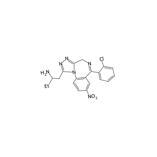 CCC(N)Cc1nnc2n1-c1ccc([N+](=O)[O-])cc1C(c1ccccc1Cl)=NC2